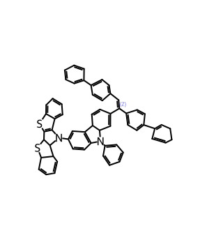 C1=CC2SC3c4sc5ccccc5c4N(c4ccc5c(c4)C4C=CC(/C(=C\c6ccc(-c7ccccc7)cc6)c6ccc(C7=CCCC=C7)cc6)=CC4N5c4ccccc4)C3C2C=C1